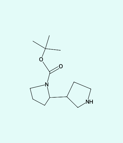 CC(C)(C)OC(=O)N1CCCC1C1CCNC1